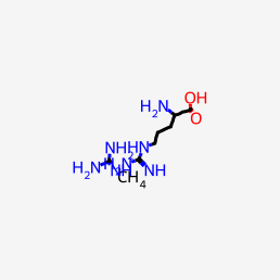 C.N=C(N)N.N=C(N)NCCCC(N)C(=O)O